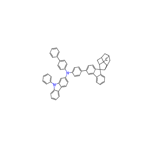 c1ccc(-c2ccc(N(c3ccc(-c4ccc5c(c4)-c4ccccc4C54C5CC6CC7CC4C7(C6)C5)cc3)c3ccc4c5ccccc5n(-c5ccccc5)c4c3)cc2)cc1